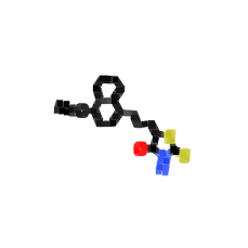 COc1ccc(C=CC=C2SC(=S)NC2=O)c2ccccc12